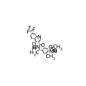 Cc1cc([C@@H](C)NC(=O)c2cnc3cc(C(F)(F)F)ccc3c2O)ccc1NS(C)(=O)=O